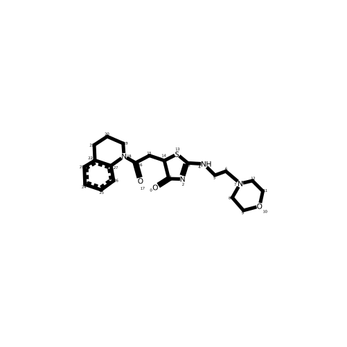 O=C1N=C(NCCN2CCOCC2)SC1CC(=O)N1CCCc2ccccc21